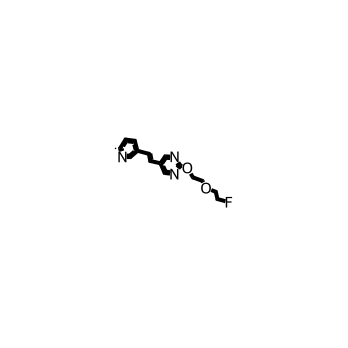 FCCOCCOc1ncc(/C=C/c2cc[c]nc2)cn1